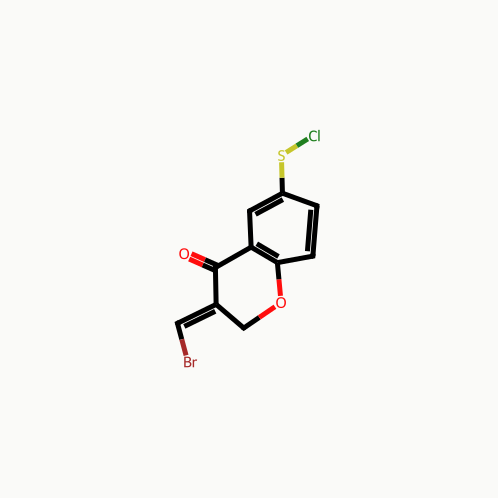 O=C1/C(=C/Br)COc2ccc(SCl)cc21